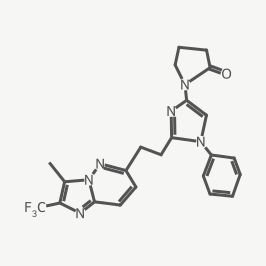 Cc1c(C(F)(F)F)nc2ccc(CCc3nc(N4CCCC4=O)cn3-c3ccccc3)nn12